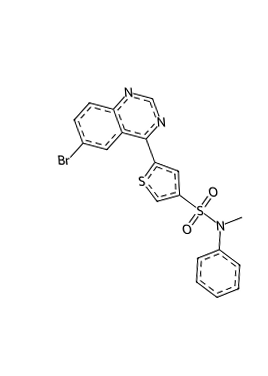 CN(c1ccccc1)S(=O)(=O)c1csc(-c2ncnc3ccc(Br)cc23)c1